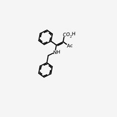 CC(=O)/C(C(=O)O)=C(\NCc1ccccc1)c1ccccc1